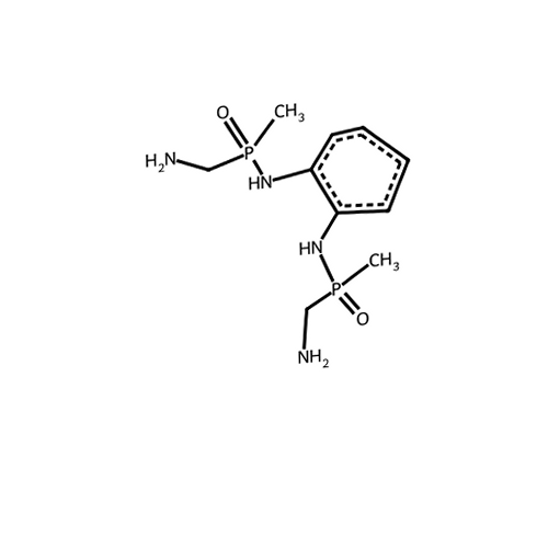 CP(=O)(CN)Nc1ccccc1NP(C)(=O)CN